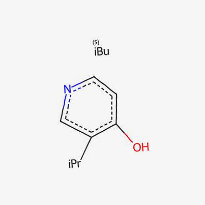 CC[C@H](C)c1cc(O)c(C(C)C)cn1